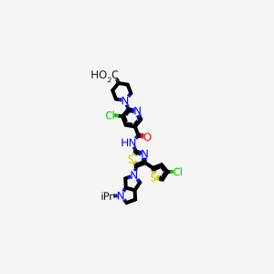 CC(C)N1CCC2CN(c3sc(NC(=O)c4cnc(N5CCC(C(=O)O)CC5)c(Cl)c4)nc3-c3cc(Cl)cs3)CC21